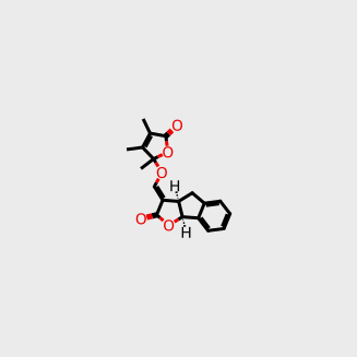 CC1=C(C)C(C)(O/C=C2/C(=O)O[C@@H]3c4ccccc4C[C@H]23)OC1=O